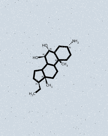 CC[C@H]1CCC2C3C(CC[C@@]21C)[C@@]1(C)CC[C@@H](N)CC1[C@@H](O)[C@@H]3O